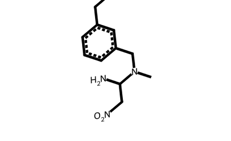 CN(Cc1cccc(CN)c1)C(N)C[N+](=O)[O-]